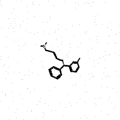 Cc1cccc([C@H](CCCCN(C)C)c2ccccc2)c1